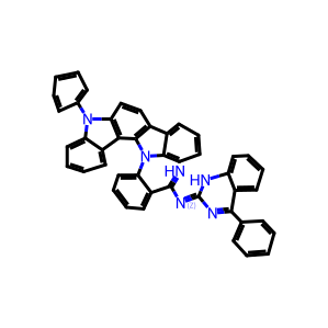 N=C(/N=c1/nc(-c2ccccc2)c2ccccc2[nH]1)c1ccccc1-n1c2ccccc2c2ccc3c(c4ccccc4n3-c3ccccc3)c21